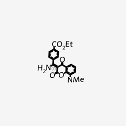 CCOC(=O)c1ccc(/C(N)=C2/C(=O)Oc3c(NC)cccc3C2=O)cc1